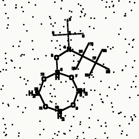 CC(C)(C)N(O[SiH]1O[SiH2]O[SiH2]O[SiH2]O1)C(C)(C)C(C)(C)C